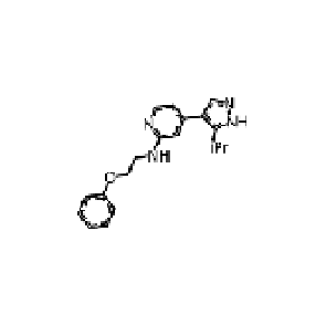 CC(C)c1[nH]ncc1-c1ccnc(NCCOc2ccccc2)c1